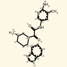 Cc1cc(NC(=O)C(=O)N2C[C@H](C)CC[C@H]2c2cccc3scnc23)cnc1N